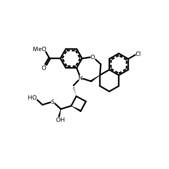 COC(=O)c1ccc2c(c1)N(C[C@@H]1CC[C@H]1[C@@H](O)SCO)C[C@@]1(CCCc3cc(Cl)ccc31)CO2